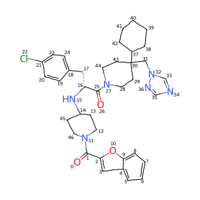 O=C(c1cc2ccccc2o1)N1CCC(N[C@H](Cc2ccc(Cl)cc2)C(=O)N2CCC(Cn3cncn3)(C3CCCCC3)CC2)CC1